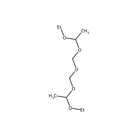 CCOC(C)OCOCOC(C)OCC